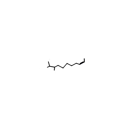 CCCCCCCC/C=C\CCCCCC(Cl)C(O)C(=O)O